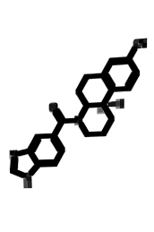 N#Cc1ccc2c(c1)CCC1[C@@H]2CCCN1C(=O)c1ccc2[nH]cnc2c1